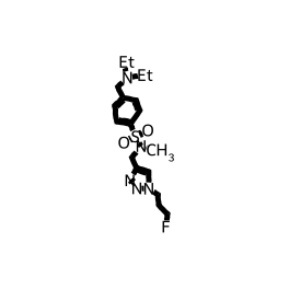 CCN(CC)Cc1ccc(S(=O)(=O)N(C)Cc2cn(CCCF)nn2)cc1